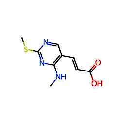 CNc1nc(SC)ncc1C=CC(=O)O